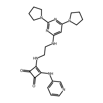 O=c1c(NCCNc2cc(N3CCCC3)nc(N3CCCC3)n2)c(Nc2cccnc2)c1=O